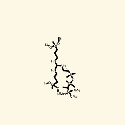 CCO[Si](C)(CCCNC(NCCC[Si](C)(OCC)OCC)[SiH2]CC[Si](C)(C)O[Si](C)(C)C(C)[Si](OC)(OC)OC)OCC